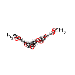 C=CC(=O)OCCCCCCOc1ccc(C(=O)Oc2cc[c]([Co](=[O])[c]3ccc(OCCCCCCOC(=O)C=C)cc3)cc2)cc1